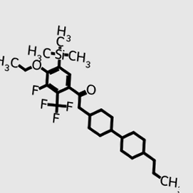 CCCC1CCC(C2CCC(CC(=O)c3cc([Si](C)(C)C)c(OCC)c(F)c3C(F)(F)F)CC2)CC1